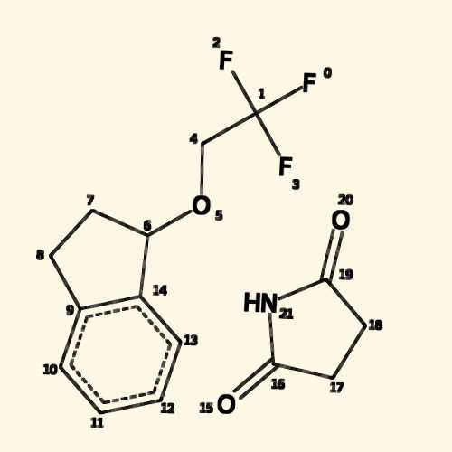 FC(F)(F)COC1CCc2ccccc21.O=C1CCC(=O)N1